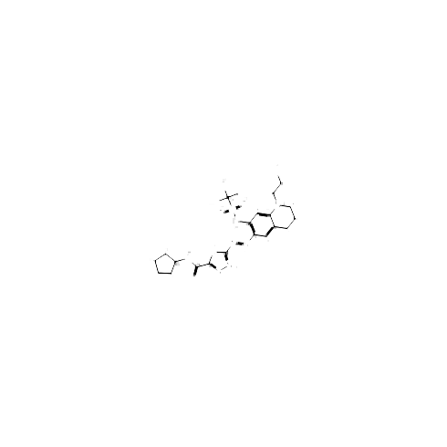 CCCN1CCCc2cc(N=Nc3nnc(C(=O)OC4CCCC4)s3)c(NS(=O)(=O)C(F)(F)F)cc21